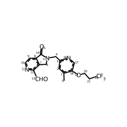 Cc1cc(CN2Cc3c(ccnc3C=O)C2=O)ncc1OCCC(F)(F)F